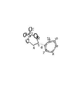 O=S1(=O)OC[C@@H](c2ccccc2)O1